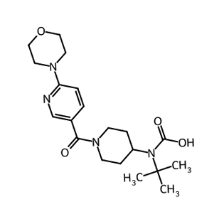 CC(C)(C)N(C(=O)O)C1CCN(C(=O)c2ccc(N3CCOCC3)nc2)CC1